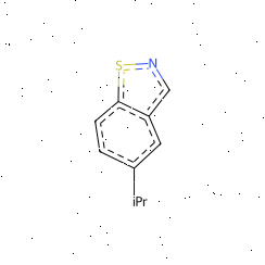 CC(C)c1ccc2sncc2c1